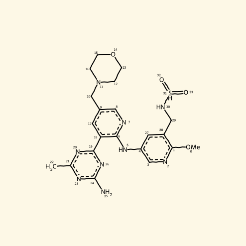 COc1ncc(Nc2ncc(CN3CCOCC3)cc2-c2nc(C)nc(N)n2)cc1CN[SH](=O)=O